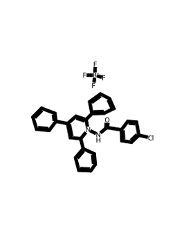 F[B-](F)(F)F.O=C(NN1C(c2ccccc2)=CC(c2ccccc2)=CC1c1ccccc1)c1ccc(Cl)cc1